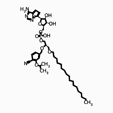 CCCCCCCCCCCCCCCCCCOC[C@H](COP(=O)(O)OC[C@H]1O[C@@H](c2ccc3c(N)ncnn23)[C@H](O)[C@@H]1O)OCc1ccc(C#N)c(OC(C)C)c1